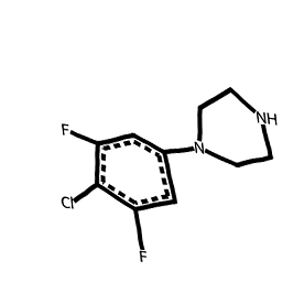 Fc1cc(N2CCNCC2)cc(F)c1Cl